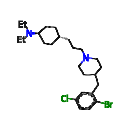 CCN(CC)[C@H]1CC[C@H](CCCN2CCC(Cc3cc(Cl)ccc3Br)CC2)CC1